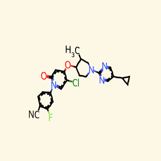 CC1CN(c2ncc(C3CC3)cn2)CCC1Oc1cc(=O)n(-c2ccc(C#N)c(F)c2)cc1Cl